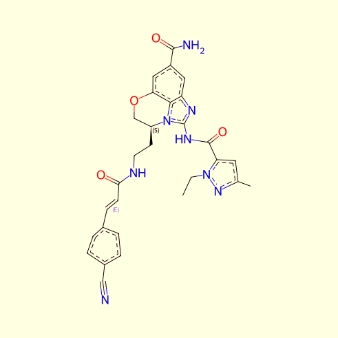 CCn1nc(C)cc1C(=O)Nc1nc2cc(C(N)=O)cc3c2n1[C@@H](CCNC(=O)/C=C/c1ccc(C#N)cc1)CO3